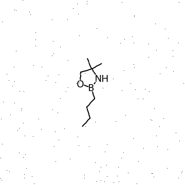 CCCCB1NC(C)(C)CO1